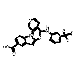 O=C(O)c1ccc2c(c1)cc1nc(Nc3cccc(C(F)(F)F)c3)c3ccncc3n12